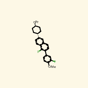 CCC[C@H]1CC[C@H](c2ccc3c(F)c(-c4ccc(OC)c(F)c4)ccc3c2)CC1